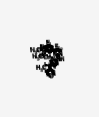 CC[C@@H](c1ccc(Nc2ncc(F)c(-c3cc(F)c4nc(C)n(C(C)C)c4c3)n2)nc1)C1CCOCC1